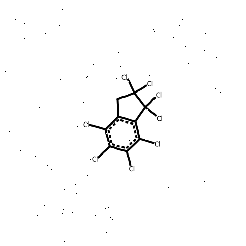 Clc1c(Cl)c(Cl)c2c(c1Cl)CC(Cl)(Cl)C2(Cl)Cl